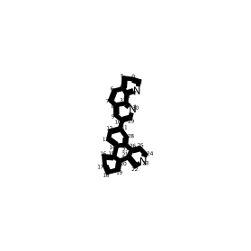 c1cnc2c(c1)ccc1cc(-c3ccc4c5ccccc5c5cnccc5c4c3)cnc12